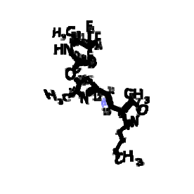 CCCCc1noc(C)c1/C=C/c1nc(C)c(OC(=O)N[C@H](C)C(F)(F)F)s1